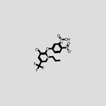 CCCN1CC(C(F)(F)F)=CC(Cl)=C1Oc1ccc([N+](=O)[O-])c([PH](=O)O)c1